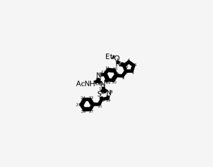 CCON=C1CCCC1Cc1ccc2nc(NC(C)=O)n(C3=NCC(Cc4ccccc4)S3)c2c1